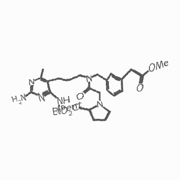 CCCCCNc1nc(N)nc(C)c1CCCN(Cc1cccc(CC(=O)OC)c1)C(=O)CN1CCCC1C(=O)OCC